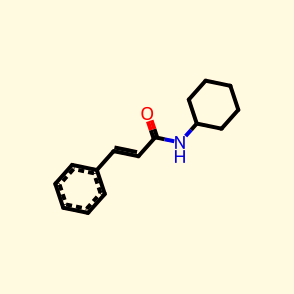 O=C(C=Cc1ccccc1)NC1CCCCC1